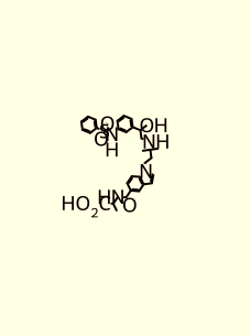 CC(NC(=O)c1ccc2c(ccn2CCC(C)(C)NCC(O)c2cccc(NS(=O)(=O)c3ccccc3)c2)c1)C(=O)O